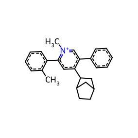 Cc1ccccc1-c1cc(C2CC3CCC2C3)c(-c2ccccc2)c[n+]1C